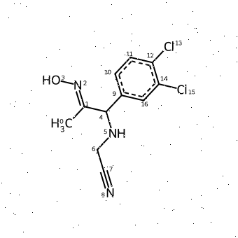 CC(=NO)C(NCC#N)c1ccc(Cl)c(Cl)c1